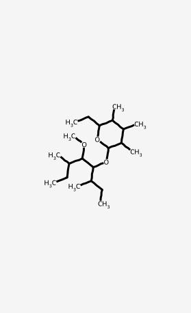 CCC(C)C(OC)C(OC1OC(CC)C(C)C(C)C1C)C(C)CC